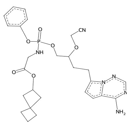 N#CCOC(CCc1ccc2c(N)ncnn12)COP(=O)(NCC(=O)OC1CC2(CCC2)C1)Oc1ccccc1